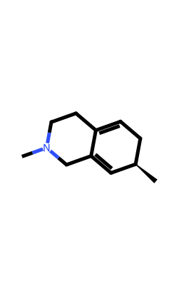 C[C@H]1C=C2CN(C)CCC2=CC1